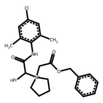 CCCC(C(=O)Nc1c(C)cc(Cl)cc1C)[N+]1(CC(=O)OCc2ccccc2)CCCC1